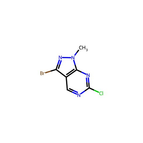 Cn1nc(Br)c2cnc(Cl)nc21